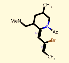 CNCC1CC(C)CN(C(C)=O)/C1=C\C(Br)=C\C(F)(F)F